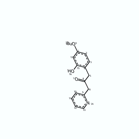 CC(C)COc1ccc(CC(=O)Cc2ccccn2)c(O)c1